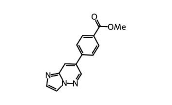 COC(=O)c1ccc(-c2cnn3ccnc3c2)cc1